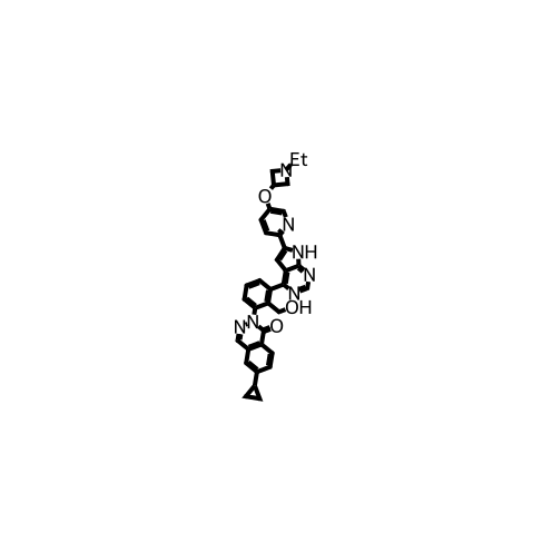 CCN1CC(Oc2ccc(-c3cc4c(-c5cccc(-n6ncc7cc(C8CC8)ccc7c6=O)c5CO)ncnc4[nH]3)nc2)C1